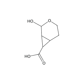 O=C(O)C1C2CCOC(O)C21